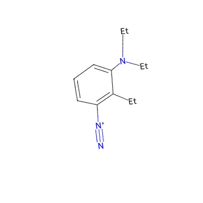 CCc1c([N+]#N)cccc1N(CC)CC